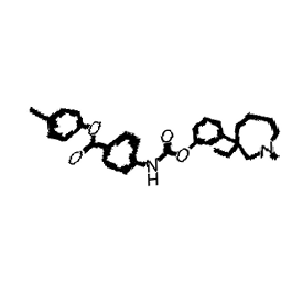 CCC1(c2cccc(OC(=O)Nc3ccc(C(=O)Oc4ccc(C)cc4)cc3)c2)CCCCN(C)C1